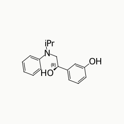 CC(C)N(C[C@H](O)c1cccc(O)c1)c1ccccc1